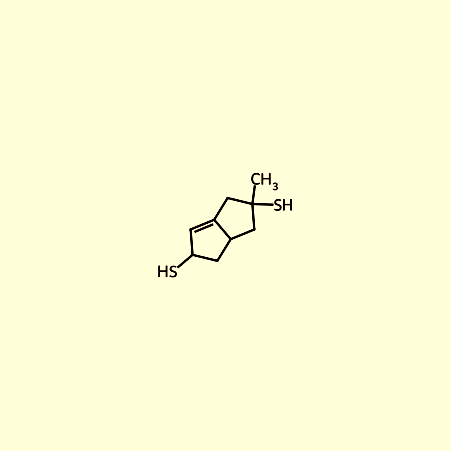 CC1(S)CC2=CC(S)CC2C1